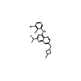 FC1CN(Cc2cnc3c(Nc4cccc(Br)c4Cl)nc(C(F)F)nc3c2)C1